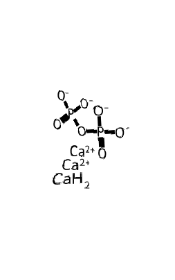 O=P([O-])([O-])OP(=O)([O-])[O-].[Ca+2].[Ca+2].[CaH2]